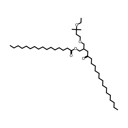 CCCCCCCCCCCCCCCC(=O)CC(COCCC(C)(C)OCC)COC(=O)CCCCCCCCCCCCCCC